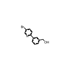 OCc1cccc(-c2ccc(Br)cn2)c1